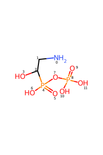 NCC(O)P(=O)(O)OP(=O)(O)O